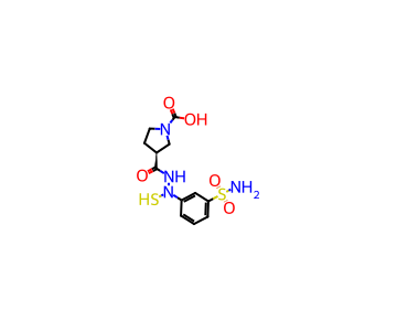 NS(=O)(=O)c1cccc(N(S)NC(=O)[C@H]2CCN(C(=O)O)C2)c1